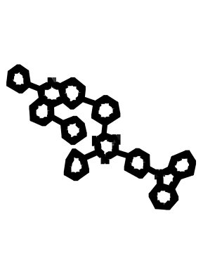 c1ccc(-c2nc(-c3ccc(-n4c5ccccc5c5ccccc54)cc3)nc(-c3cccc(-c4ccc5nc(-c6ccccc6)c6cccc(-c7ccccc7)c6c5c4)c3)n2)cc1